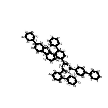 c1ccc(-c2ccc(-c3nc(-c4ccc(-c5ccccc5-n5c6ccccc6c6ccc(-c7ccccc7)cc65)cc4)nc(-c4ccccc4-c4ccccc4)n3)cc2)cc1